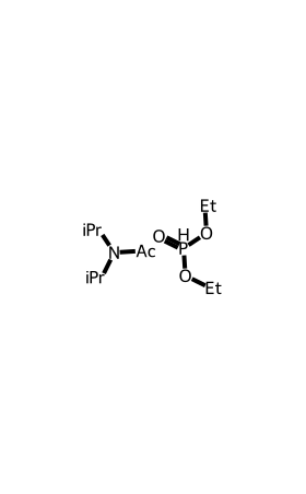 CC(=O)N(C(C)C)C(C)C.CCO[PH](=O)OCC